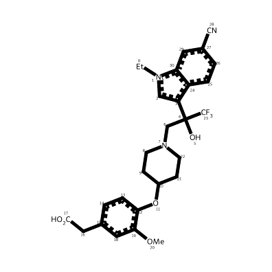 CCn1cc(C(O)(CN2CCC(Oc3ccc(CC(=O)O)cc3OC)CC2)C(F)(F)F)c2ccc(C#N)cc21